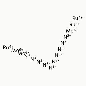 [Mo+6].[Mo+6].[Mo+6].[N-3].[N-3].[N-3].[N-3].[N-3].[N-3].[N-3].[N-3].[N-3].[N-3].[Ru+4].[Ru+4].[Ru+4]